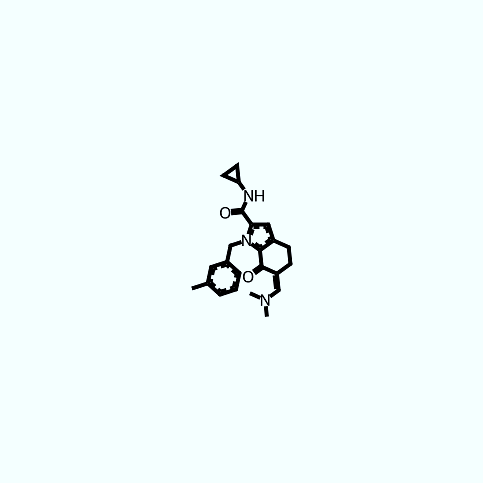 Cc1cccc(Cn2c(C(=O)NC3CC3)cc3c2C(=O)C(=CN(C)C)CC3)c1